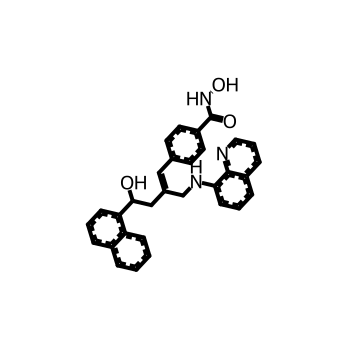 O=C(NO)c1ccc(C=C(CNc2cccc3cccnc23)CC(O)c2cccc3ccccc23)cc1